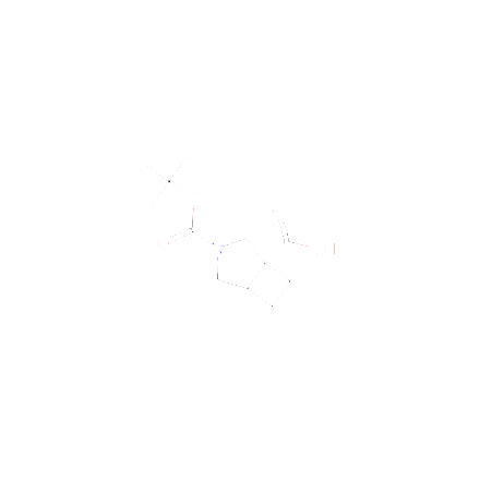 CC(C)(C)OC(=O)N1C[C@@H]2CC[C@]2(C(=O)O)C1